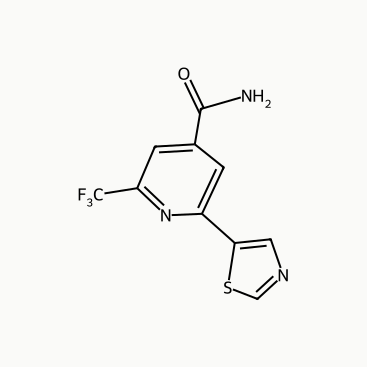 NC(=O)c1cc(-c2cncs2)nc(C(F)(F)F)c1